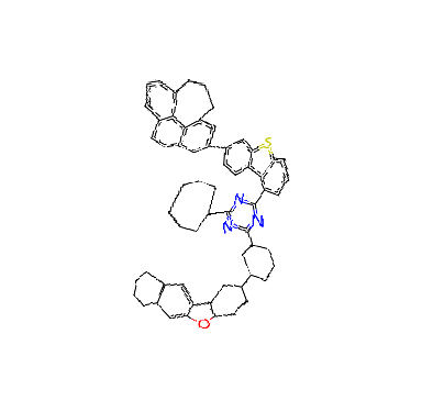 C1=C2OC3CCC(C4CCCC(c5nc(-c6cccc7sc8cc(-c9cc%10c%11c(ccc%12cccc(c%12%11)CCC%10)c9)ccc8c67)nc(C6CCCCCC6)n5)C4)CC3C2=CC2CCCCC12